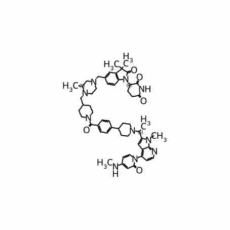 CNc1ccn(-c2ccnc3c2cc([C@H](C)N2CCC(c4ccc(C(=O)N5CCC(CN6CCN(Cc7ccc8c(c7)C(C)(C)C(=O)N8[C@@H]7CCC(=O)NC7=O)C[C@@H]6C)CC5)cc4)CC2)n3C)c(=O)c1